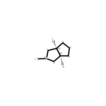 IN1C[C@H]2CCC[C@H]2C1